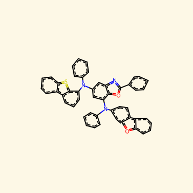 c1ccc(-c2nc3cc(N(c4ccccc4)c4cccc5c4sc4ccccc45)cc(N(c4ccccc4)c4ccc5c(c4)oc4ccccc45)c3o2)cc1